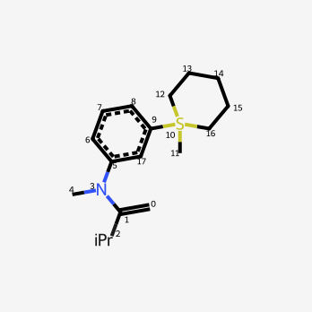 C=C(C(C)C)N(C)c1cccc(S2(C)CCCCC2)c1